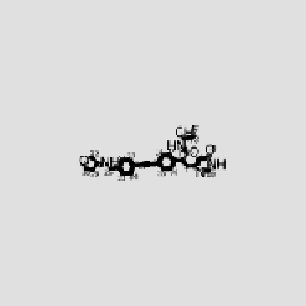 C[C@@H](CF)NC[C@H](Cc1nc[nH]c(=O)c1O)c1ccc(C#Cc2ccc(CN[C@@H]3CCOC3)cc2)cc1